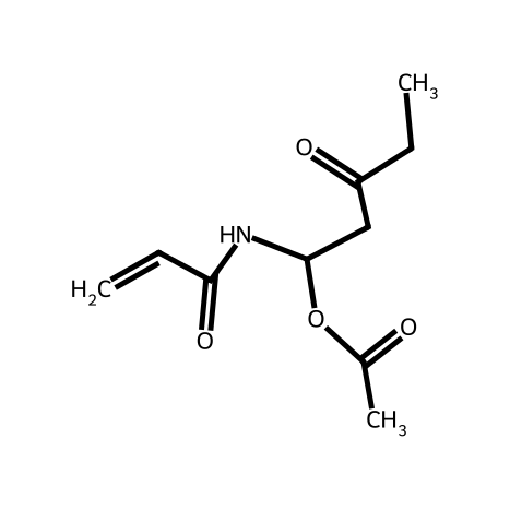 C=CC(=O)NC(CC(=O)CC)OC(C)=O